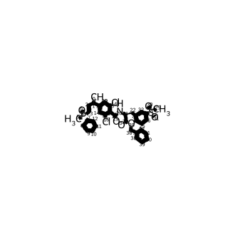 CC(/C=C/P(C)(=O)c1ccccc1)c1cc(Cl)c(C(=O)N[C@@H](Cc2cccc(S(C)(=O)=O)c2)C(=O)OCc2ccccc2)c(Cl)c1